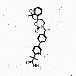 C[C@@H](c1ccc(-c2ccc(C(C)(C)C(N)=O)nc2)cc1)N1CC[C@](CC(C)(C)O)(c2ccccc2)OC1=O